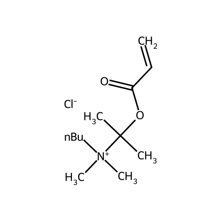 C=CC(=O)OC(C)(C)[N+](C)(C)CCCC.[Cl-]